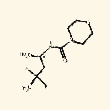 CC(F)(F)C[C@H](NC(=O)N1CCOCC1)C(=O)O